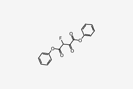 O=C(Oc1ccccc1)C(=O)C(F)C(=O)Oc1ccccc1